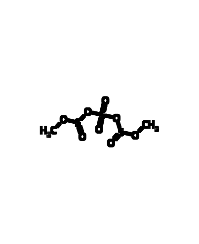 COS(=O)OS(=O)(=O)OS(=O)OC